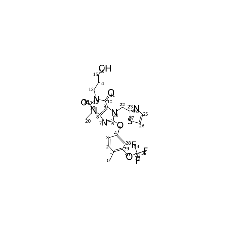 Cc1ccc(Oc2nc3c(c(=O)n(CCCO)c(=O)n3C)n2Cc2nccs2)cc1OC(F)(F)F